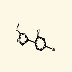 COc1ncc(-c2ccc(Br)cc2Cl)s1